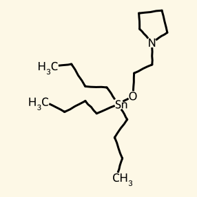 CCC[CH2][Sn]([CH2]CCC)([CH2]CCC)[O]CCN1CCCC1